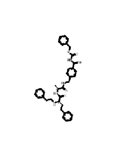 C[C@H](NC(=O)[C@@H](CCc1ccccc1)NCCc1ccccc1)C(=O)NCc1ccc(C(=N)NC(=O)OCc2ccccc2)cc1